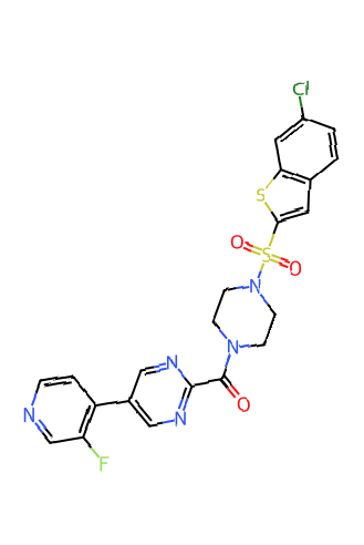 O=C(c1ncc(-c2ccncc2F)cn1)N1CCN(S(=O)(=O)c2cc3ccc(Cl)cc3s2)CC1